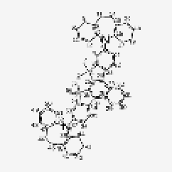 CC1(C)c2cc(N3C4=C(CCC=C4)CCC4=C3CCC=C4)ccc2-c2c1c1c(c3ccccc23)-c2ccc(N3C4=C(C=CCC4)CCc4ccccc43)cc2C1(C)C